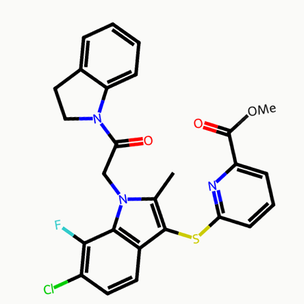 COC(=O)c1cccc(Sc2c(C)n(CC(=O)N3CCc4ccccc43)c3c(F)c(Cl)ccc23)n1